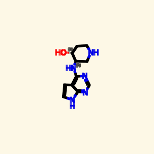 O[C@@H]1CCNC[C@H]1Nc1ncnc2[nH]ccc12